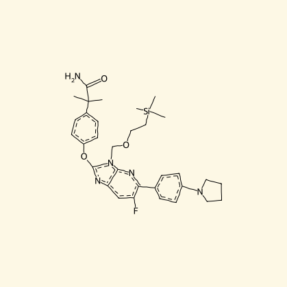 CC(C)(C(N)=O)c1ccc(Oc2nc3cc(F)c(-c4ccc(N5CCCC5)cc4)nc3n2COCC[Si](C)(C)C)cc1